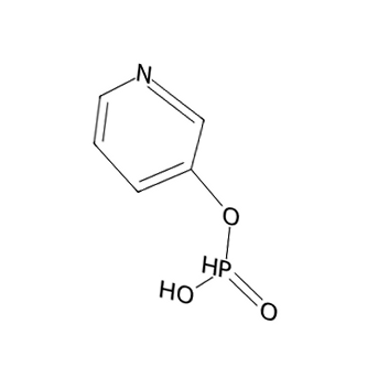 O=[PH](O)Oc1cccnc1